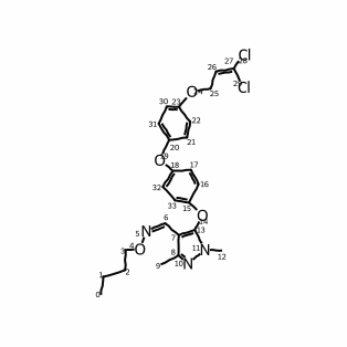 CCCCO/N=C\c1c(C)nn(C)c1Oc1ccc(Oc2ccc(OCC=C(Cl)Cl)cc2)cc1